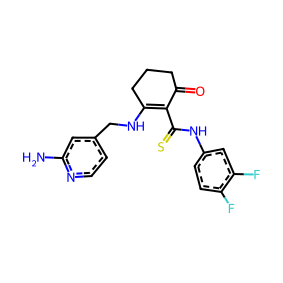 Nc1cc(CNC2=C(C(=S)Nc3ccc(F)c(F)c3)C(=O)CCC2)ccn1